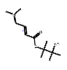 CCCC(C)(C)C(C)(C)OC(=O)/C=C/CN(C)C